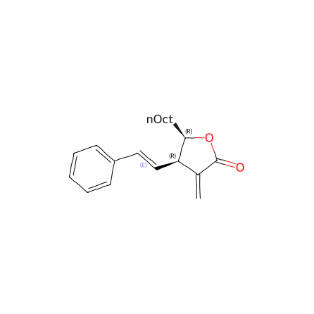 C=C1C(=O)O[C@H](CCCCCCCC)[C@@H]1/C=C/c1ccccc1